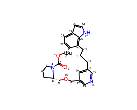 CC(C)(C)OC(=O)N1CCC[C@H]1COCc1cncc(CCCc2cccc3cc[nH]c23)c1